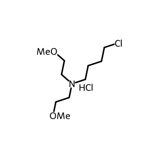 COCCN(CCCCCl)CCOC.Cl